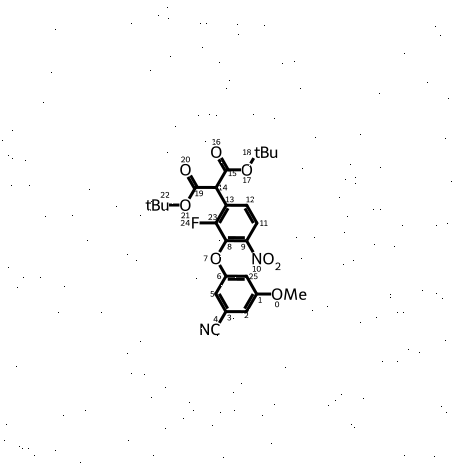 COc1cc(C#N)cc(Oc2c([N+](=O)[O-])ccc(C(C(=O)OC(C)(C)C)C(=O)OC(C)(C)C)c2F)c1